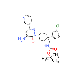 CC(C)(C)OC(=O)NCC1(c2cccc(Cl)c2)CCC(n2nc(-c3cccnc3)cc(N)c2=O)CC1